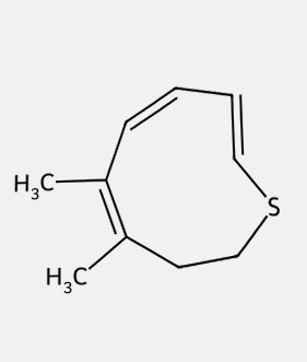 CC1=C(\C)CCS/C=C/C=C\1